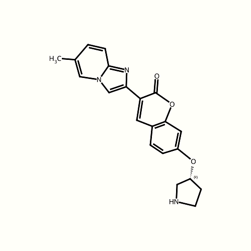 Cc1ccc2nc(-c3cc4ccc(O[C@@H]5CCNC5)cc4oc3=O)cn2c1